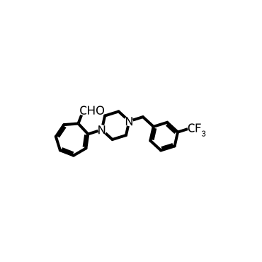 O=CC1C=CC=CC=C1N1CCN(Cc2cccc(C(F)(F)F)c2)CC1